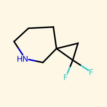 FC1(F)CC12CCCNC2